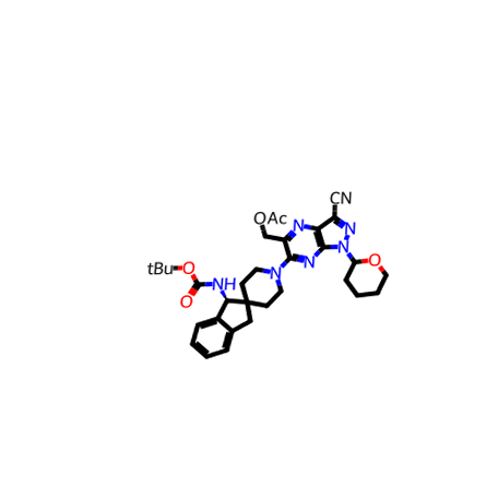 CC(=O)OCc1nc2c(C#N)nn(C3CCCCO3)c2nc1N1CCC2(CC1)Cc1ccccc1[C@H]2NC(=O)OC(C)(C)C